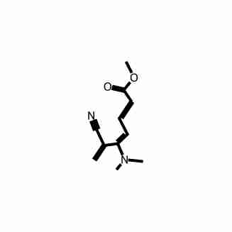 C=C(C#N)/C(=C\C=C\C(=O)OC)N(C)C